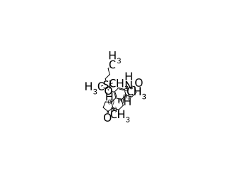 CCCC[Si](C)(C)OC1=C2[C@H](CC[C@]3(C)C(=O)CC[C@@H]23)[C@@]2(C)CCC(=O)NC2=C1